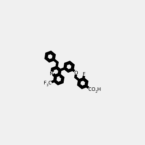 O=C(O)c1ccc(COc2cccc(-c3c(Cc4ccccc4)cnc4c(C(F)(F)F)cccc34)c2)c(F)c1